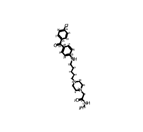 CC(C)NC(=O)CN1CCN(CCCCCNc2ccc(C(=O)c3ccc(Cl)cc3)cc2)CC1